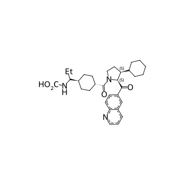 CCC(NC(=O)O)[C@H]1CC[C@H](C(=O)N2CC[C@@H](C3CCCCC3)[C@H]2C(=O)c2ccc3ncccc3c2)CC1